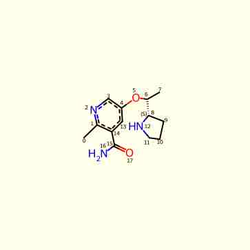 Cc1ncc(OC(C)[C@@H]2CCCN2)cc1C(N)=O